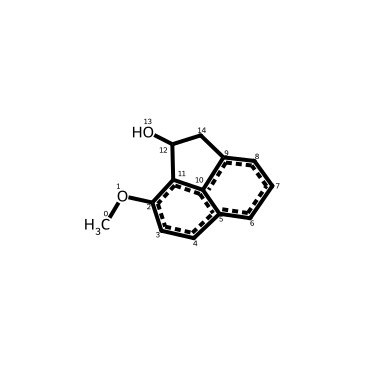 COc1ccc2cccc3c2c1C(O)C3